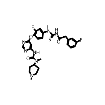 CN1CCC(N(C)C(=O)Nc2cc(Oc3ccc(NC(=S)NC(=O)Cc4cccc(F)c4)cc3F)ncn2)CC1